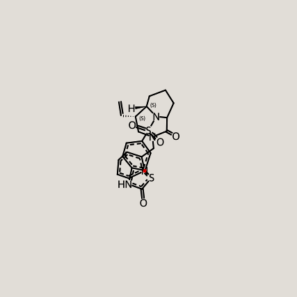 C=C[C@H]1CN(Cc2ccccn2)C(=O)C2CCC[C@@H]1N2S(=O)(=O)c1ccc2[nH]c(=O)sc2c1